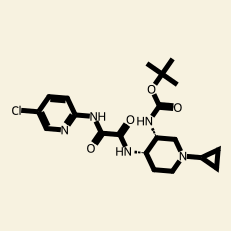 CC(C)(C)OC(=O)N[C@@H]1CN(C2CC2)CC[C@@H]1NC(=O)C(=O)Nc1ccc(Cl)cn1